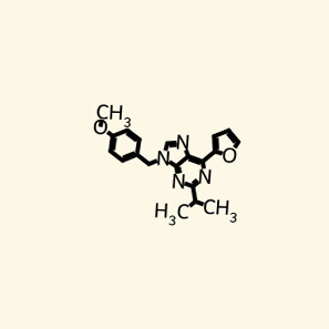 COc1ccc(Cn2cnc3c(-c4ccco4)nc(C(C)C)nc32)cc1